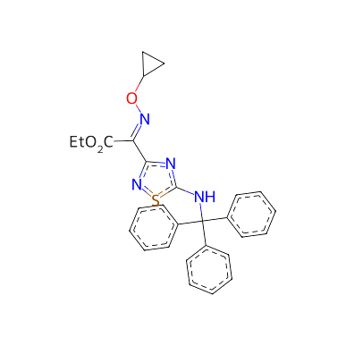 CCOC(=O)C(=NOC1CC1)c1nsc(NC(c2ccccc2)(c2ccccc2)c2ccccc2)n1